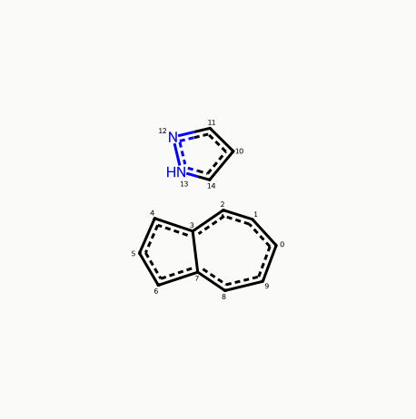 c1ccc2cccc-2cc1.c1cn[nH]c1